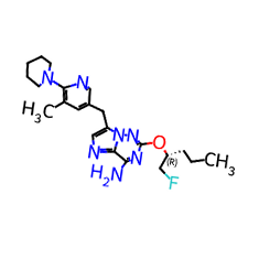 CCC[C@H](CF)Oc1nc(N)c2ncc(Cc3cnc(N4CCCCC4)c(C)c3)n2n1